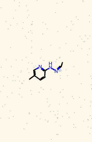 C/C=N\Nc1ccc(C)cn1